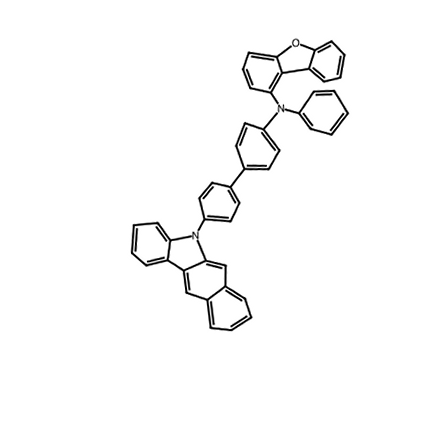 c1ccc(N(c2ccc(-c3ccc(-n4c5ccccc5c5cc6ccccc6cc54)cc3)cc2)c2cccc3oc4ccccc4c23)cc1